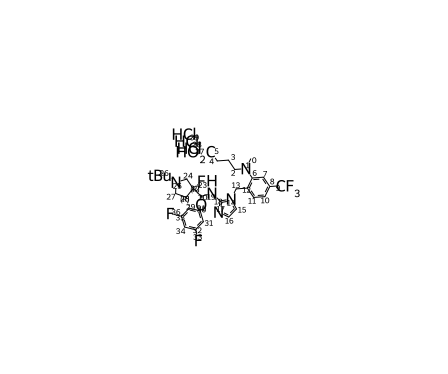 CN(CCCC(=O)O)c1cc(C(F)(F)F)ccc1Cn1ccnc1NC(=O)[C@]1(F)CN(C(C)(C)C)C[C@H]1c1ccc(F)cc1F.Cl.Cl.Cl